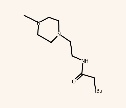 CN1CCN(CCNC(=O)CC(C)(C)C)CC1